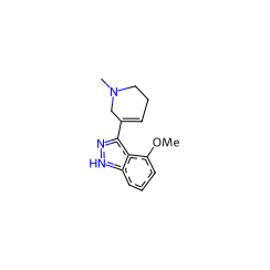 COc1cccc2[nH]nc(C3=CCCN(C)C3)c12